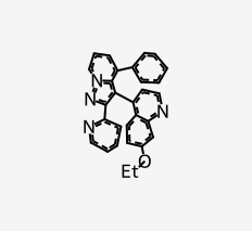 CCOc1ccc2c(-c3c(-c4ccccn4)nn4cccc(-c5ccccc5)c34)ccnc2c1